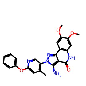 COc1cc2[nH]c(=O)c3c(N)n(-c4cnc(Oc5ccccc5)cc4C)nc3c2cc1OC